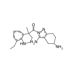 CCc1cccc2c1NCCC2(C)C(=O)n1nc2c(c1N)CC(N)CC2